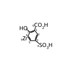 O=C(O)c1cc(S(=O)(=O)O)ccc1O.[Zr]